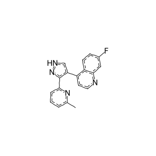 Cc1cccc(-c2n[nH]cc2-c2ccnc3cc(F)ccc23)n1